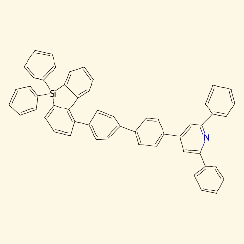 c1ccc(-c2cc(-c3ccc(-c4ccc(-c5cccc6c5-c5ccccc5[Si]6(c5ccccc5)c5ccccc5)cc4)cc3)cc(-c3ccccc3)n2)cc1